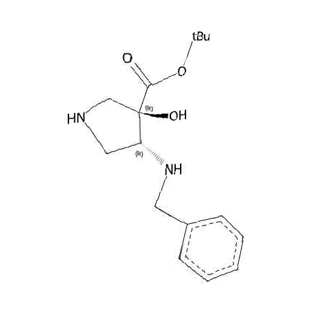 CC(C)(C)OC(=O)[C@@]1(O)CNC[C@H]1NCc1ccccc1